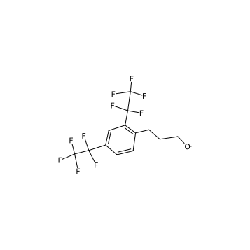 [O]CCCc1ccc(C(F)(F)C(F)(F)F)cc1C(F)(F)C(F)(F)F